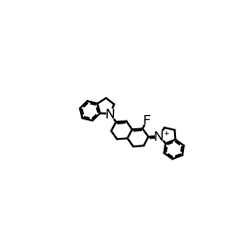 FC1=C2C=C(N3CCc4ccccc43)CCC2CC/C1=[N+]1/CCc2ccccc21